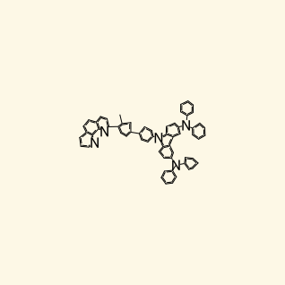 Cc1cc(-c2ccc(-n3c4ccc(N(c5ccccc5)c5ccccc5)cc4c4cc(N(c5ccccc5)c5ccccc5)ccc43)cc2)ccc1-c1ccc2ccc3cccnc3c2n1